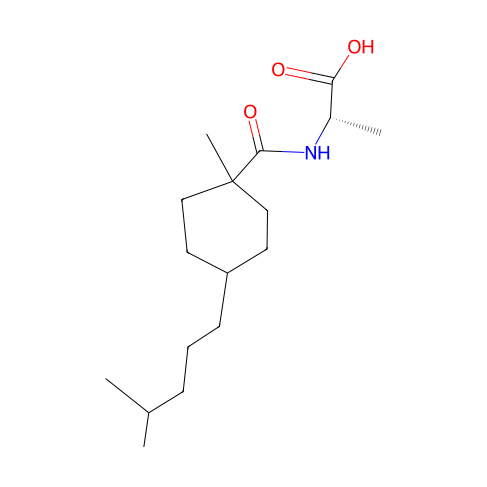 CC(C)CCCC1CCC(C)(C(=O)N[C@@H](C)C(=O)O)CC1